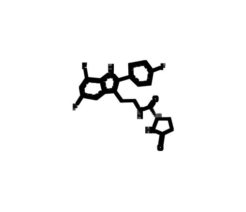 O=C1CC[C@@H](C(=O)NCCc2c(-c3ccc(F)cc3)[nH]c3c(F)cc(F)cc23)N1